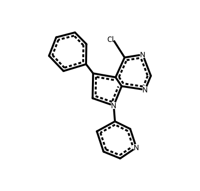 Clc1ncnc2c1c(-c1ccccc1)cn2-c1cccnc1